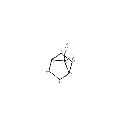 ClC1(Cl)C2CCC1CC2